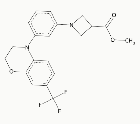 COC(=O)C1CN(c2cccc(N3CCOc4cc(C(F)(F)F)ccc43)c2)C1